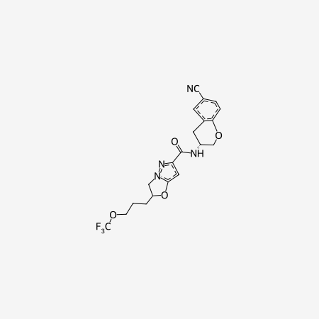 N#Cc1ccc2c(c1)C[C@@H](NC(=O)c1cc3n(n1)CC(CCCOC(F)(F)F)O3)CO2